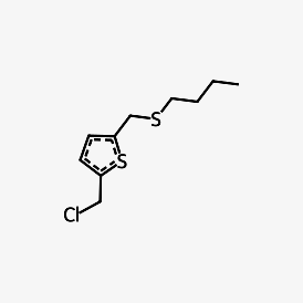 CCCCSCc1ccc(CCl)s1